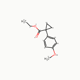 CCOC(=O)C1(c2ccc(OC)cc2)CC1